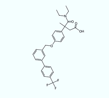 CCN(CC)C(=O)C(C)(CC(=O)O)c1ccc(OCc2cccc(-c3ccc(C(F)(F)F)cc3)c2)cc1